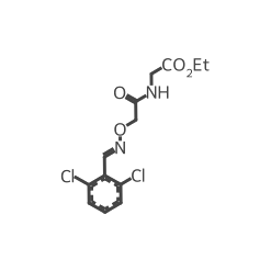 CCOC(=O)CNC(=O)CON=Cc1c(Cl)cccc1Cl